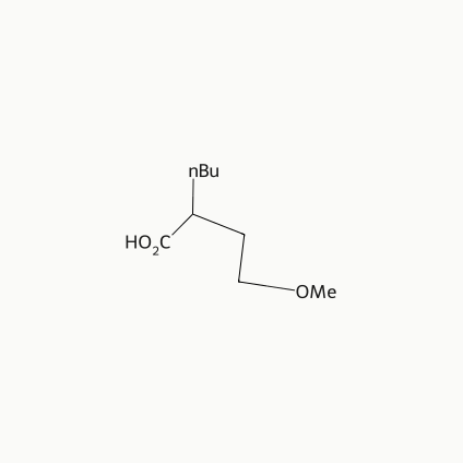 CCCCC(CCOC)C(=O)O